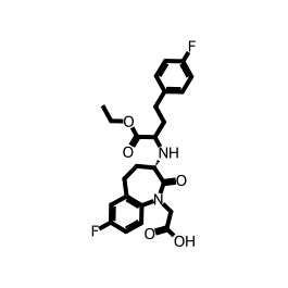 CCOC(=O)C(CCc1ccc(F)cc1)N[C@H]1CCc2cc(F)ccc2N(CC(=O)O)C1=O